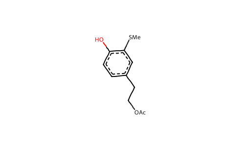 CSc1cc(CCOC(C)=O)ccc1O